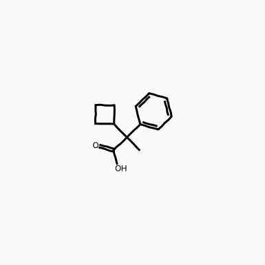 CC(C(=O)O)(c1ccccc1)C1CCC1